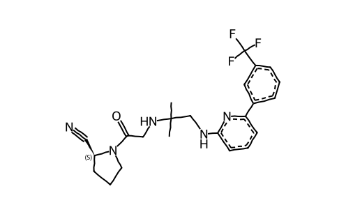 CC(C)(CNc1cccc(-c2cccc(C(F)(F)F)c2)n1)NCC(=O)N1CCC[C@H]1C#N